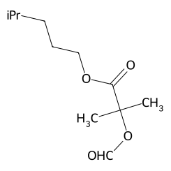 CC(C)CCCOC(=O)C(C)(C)OC=O